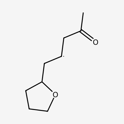 CC(=O)C[CH]CC1CCCO1